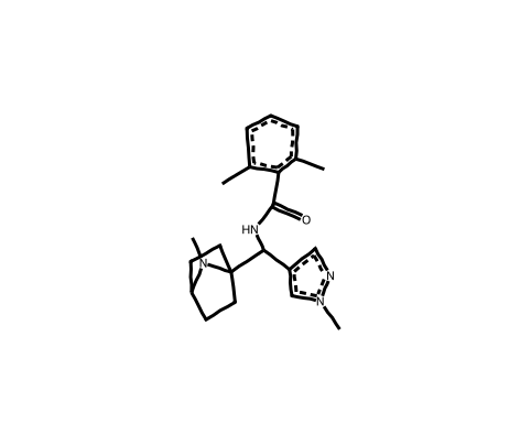 Cc1cccc(C)c1C(=O)NC(c1cnn(C)c1)C12CCC(CC1)N2C